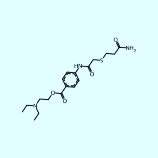 CCN(CC)CCOC(=O)c1ccc(NC(=O)CSCCC(N)=O)cc1